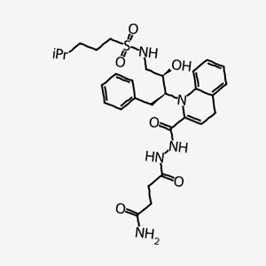 CC(C)CCCS(=O)(=O)NC[C@@H](O)[C@H](Cc1ccccc1)N1C(C(=O)NNC(=O)CCC(N)=O)=CCc2ccccc21